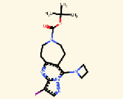 CC(C)(C)OC(=O)N1CCc2nc3c(I)cnn3c(N3CCC3)c2CC1